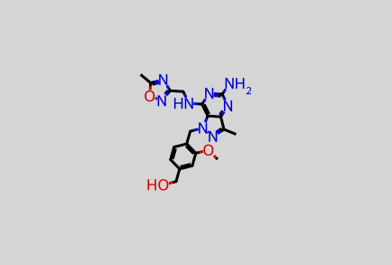 COc1cc(CO)ccc1Cn1nc(C)c2nc(N)nc(NCc3noc(C)n3)c21